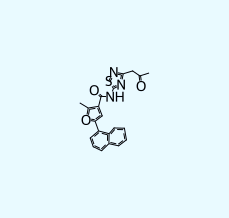 CC(=O)Cc1nsc(NC(=O)c2cc(-c3cccc4ccccc34)oc2C)n1